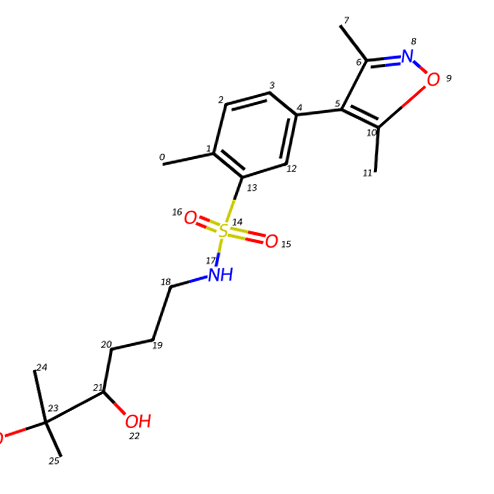 Cc1ccc(-c2c(C)noc2C)cc1S(=O)(=O)NCCCC(O)C(C)(C)O